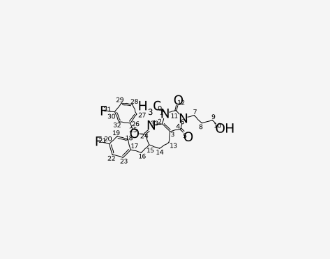 Cn1c2c(c(=O)n(CCCO)c1=O)CCC(Cc1ccc(F)cc1)C(Oc1cccc(F)c1)=N2